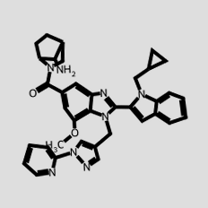 COc1cc(C(=O)N2CC3CCC2C3N)cc2nc(-c3cc4ccccc4n3CC3CC3)n(Cc3cnn(-c4ccccn4)c3)c12